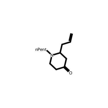 C=CCC1CC(=O)CCN1CCCCC